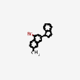 Cc1ccc2c(Br)cc(C3C=Cc4ccccc43)cc2c1